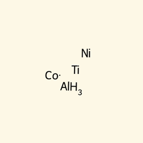 [AlH3].[Co].[Ni].[Ti]